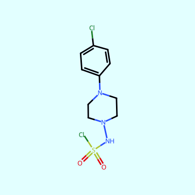 O=S(=O)(Cl)NN1CCN(c2ccc(Cl)cc2)CC1